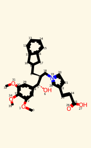 COc1cc([C@@H](O)[C@@H](CC2Cc3ccccc3C2)Cn2ccc(C=CC(=O)O)c2)cc(OC)c1OC